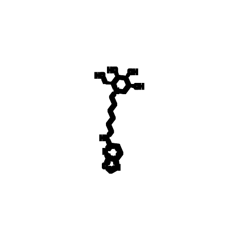 OC[C@@H]1[C@@H](O)[C@H](O)[C@@H](O)CN1CCCCCCNc1ccc2ncoc2n1